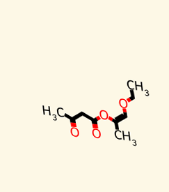 CCOC=C(C)OC(=O)CC(C)=O